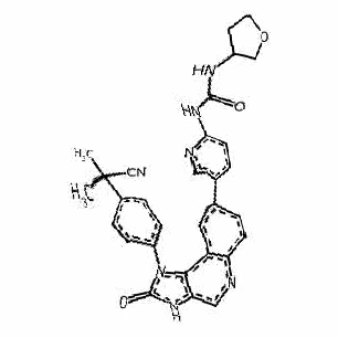 CC(C)(C#N)c1ccc(-n2c(=O)[nH]c3cnc4ccc(-c5ccc(NC(=O)NC6CCOC6)nc5)cc4c32)cc1